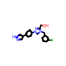 OCC1=NN(c2ccc(-c3cn[nH]c3)cc2)CN1Cc1cccc(F)c1